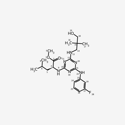 COC(=O)[C@H](CC(C)C)Nc1nc(NCC(C)(C)CO)nc(Nc2cccc(F)c2)n1